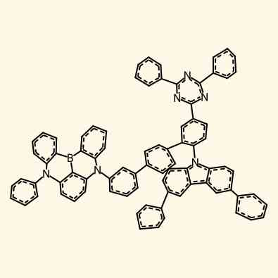 c1ccc(-c2ccc3c(c2)c2cc(-c4ccccc4)ccc2n3-c2ccc(-c3nc(-c4ccccc4)nc(-c4ccccc4)n3)cc2-c2ccc(-c3cccc(N4c5ccccc5B5c6ccccc6N(c6ccccc6)c6cccc4c65)c3)cc2)cc1